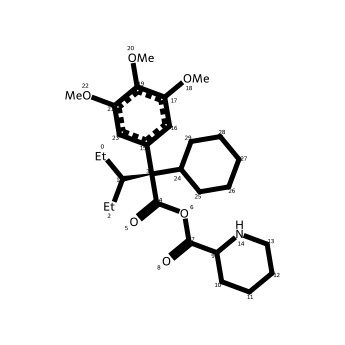 CCC(CC)[C@@](C(=O)OC(=O)C1CCCCN1)(c1cc(OC)c(OC)c(OC)c1)C1CCCCC1